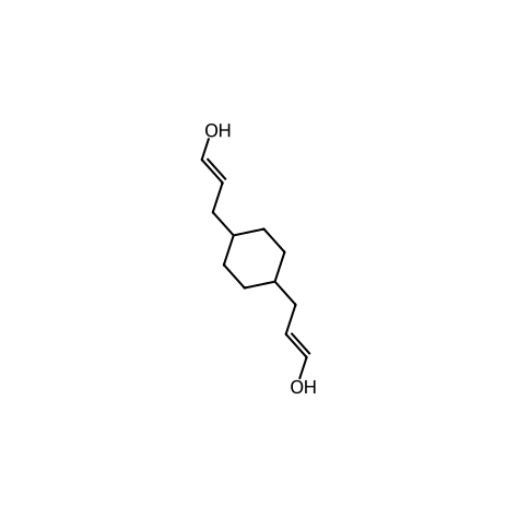 OC=CCC1CCC(CC=CO)CC1